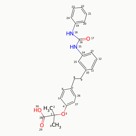 CC(C)(Oc1ccc(CCc2cccc(NC(=O)Nc3ccccc3)c2)cc1)C(=O)O